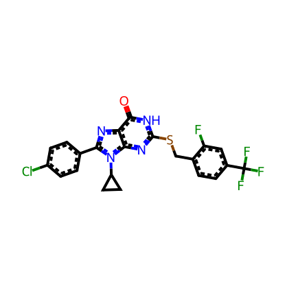 O=c1[nH]c(SCc2ccc(C(F)(F)F)cc2F)nc2c1nc(-c1ccc(Cl)cc1)n2C1CC1